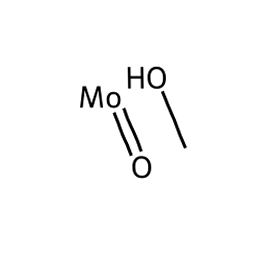 CO.[O]=[Mo]